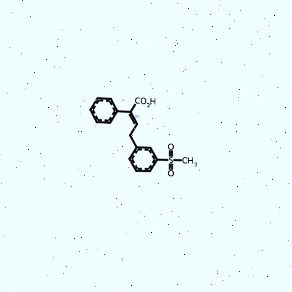 CS(=O)(=O)c1cccc(C/C=C(/C(=O)O)c2ccccc2)c1